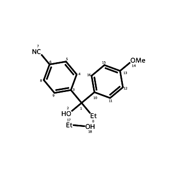 CCC(O)(c1ccc(C#N)cc1)c1ccc(OC)cc1.CCO